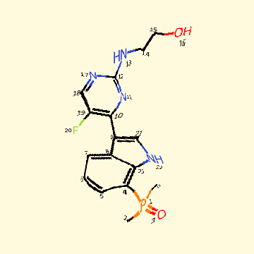 CP(C)(=O)c1cccc2c(-c3nc(NCCO)ncc3F)c[nH]c12